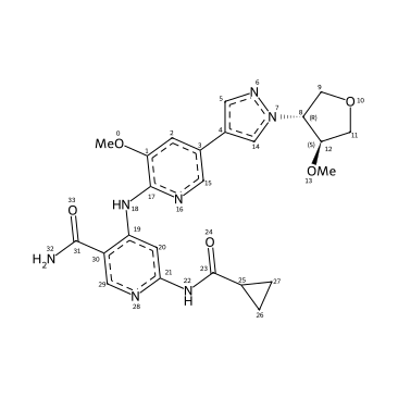 COc1cc(-c2cnn([C@@H]3COC[C@H]3OC)c2)cnc1Nc1cc(NC(=O)C2CC2)ncc1C(N)=O